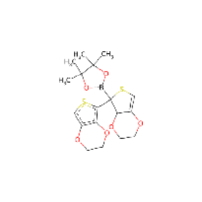 CC1(C)OB(C2(c3scc4c3OCCO4)SC=C3OCCOC32)OC1(C)C